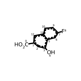 O=C(O)c1cc(O)c2cc(F)ccc2c1